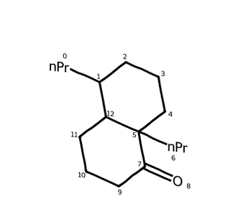 CCCC1CCCC2(CCC)C(=O)CCCC12